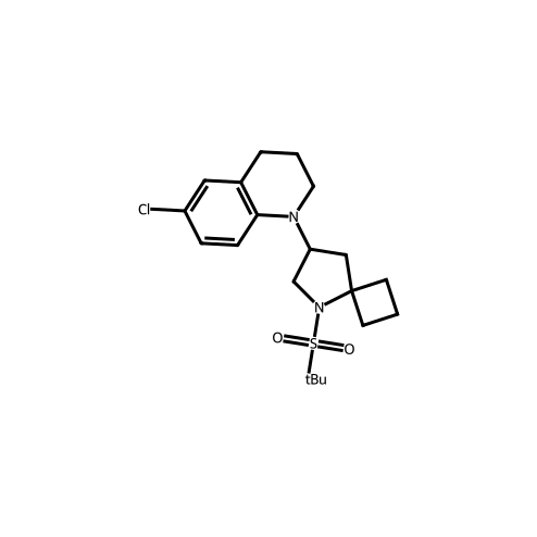 CC(C)(C)S(=O)(=O)N1CC(N2CCCc3cc(Cl)ccc32)CC12CCC2